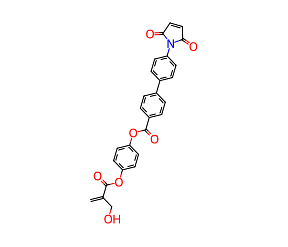 C=C(CO)C(=O)Oc1ccc(OC(=O)c2ccc(-c3ccc(N4C(=O)C=CC4=O)cc3)cc2)cc1